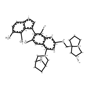 N#Cc1c(N)ccc2scc(-c3c(Cl)cc4c(N5CC6CCC(C5)N6)nc(OC[C@@]56CCCN5C[C@H](F)C6)nc4c3F)c12